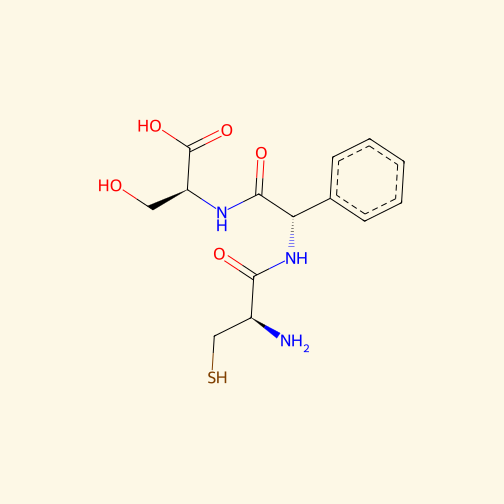 N[C@@H](CS)C(=O)N[C@H](C(=O)N[C@@H](CO)C(=O)O)c1ccccc1